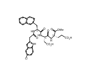 COC(=O)[C@H](CCC(=O)O)NC(=O)[C@H](CC(=O)O)NC(=O)[C@H](Cc1ccc2ccccc2c1)NC(=O)Cc1cc2cc(Cl)ccc2[nH]1